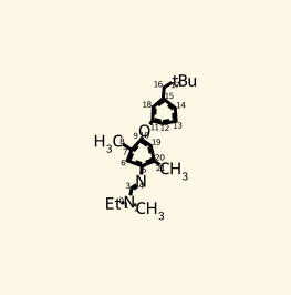 CCN(C)C=Nc1cc(C)c(Oc2cccc(CC(C)(C)C)c2)cc1C